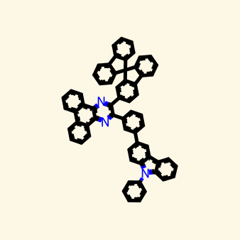 c1ccc(-n2c3ccccc3c3cc(-c4cccc(-c5nc6c7ccccc7c7ccccc7c6nc5-c5ccc6c(c5)C5(c7ccccc7-c7ccccc75)c5ccccc5-6)c4)ccc32)cc1